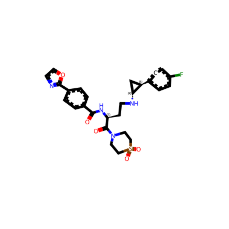 O=C(N[C@@H](CCN[C@@H]1C[C@H]1c1ccc(F)cc1)C(=O)N1CCS(=O)(=O)CC1)c1ccc(-c2ncco2)cc1